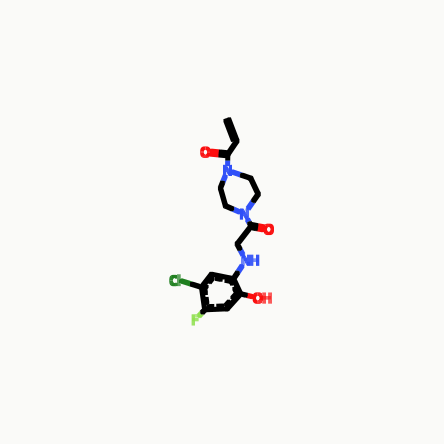 C=CC(=O)N1CCN(C(=O)CNc2cc(Cl)c(F)cc2O)CC1